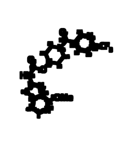 COc1ncnc2sc(NC(=O)ON3CCN(C(=O)c4ccc(C(F)(F)F)nc4)CC3)nc12